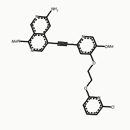 CNc1ncc(C#Cc2cc(OCCOc3cccc(Cl)n3)c(OC)cn2)c2cc(N)ncc12